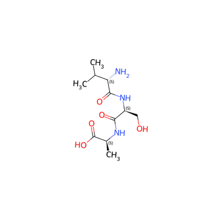 CC(C)[C@H](N)C(=O)N[C@@H](CO)C(=O)N[C@@H](C)C(=O)O